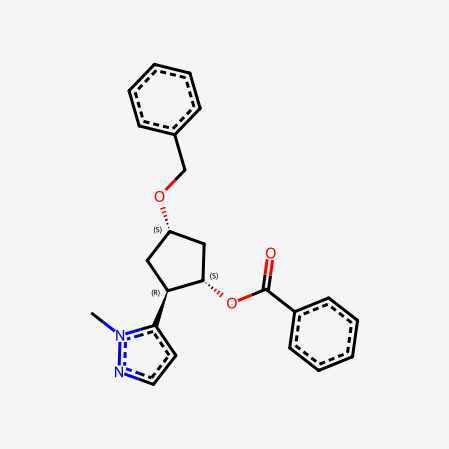 Cn1nccc1[C@H]1C[C@H](OCc2ccccc2)C[C@@H]1OC(=O)c1ccccc1